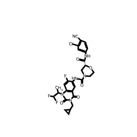 CC(C(F)F)n1c(=O)n(CC2CC2)c(=O)c2cc(NC(=O)N3CCO[C@@H](C(=O)Nc4ccc(C#N)c(Cl)c4)C3)c(F)cc21